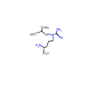 CCCC(C=O)C(=O)O.N=C(N)NCCC[C@H](N)C(=O)O